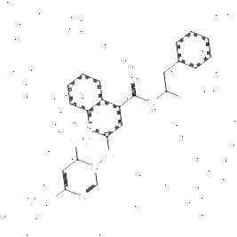 COC1=CC(OC)N(Oc2cc(C(=O)NC(C=O)Cc3ccccc3)c3ccccc3n2)C=N1